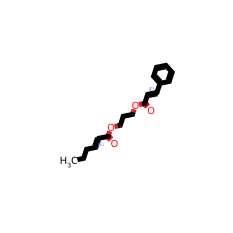 CCC/C=C/C(=O)OCCCOC(=O)/C=C/c1ccccc1